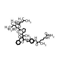 CCC(C)C(C(CC(=O)N1CCCC1C(OC)C(C)C(Cc1ccccc1)C(=O)NCc1ccc(NC(=O)C(C)CCCNC(N)=O)cc1)OC)N(C)C(=O)CCC(C)C